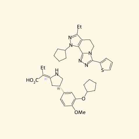 CC/C(C(=O)O)=C1/C[C@@H](c2ccc(OC)c(OC3CCCC3)c2)CN1.CCc1nn(C2CCCC2)c2c1CCn1c(-c3cccs3)nnc1-2